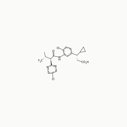 C[C@H]([C@@H](C(=O)Nc1cc([C@@H](CC(=O)O)C2CC2)ccc1Cl)c1ncc(Cl)cn1)C(F)(F)F